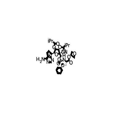 CC(C)C(=O)O[C@H]1[C@H](c2ccc3c(N)ncnn23)O[C@](C#N)(CO[P@@](=O)(N[C@@H](C)C(=O)OC2COC2)Oc2ccccc2)[C@H]1OC(=O)C(C)C